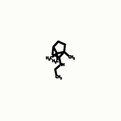 CCNC1CC2CCC1(C)C2(C)C